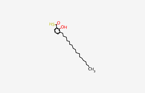 CCCCCCCCCCCCCCCCCCc1cccc(C(=O)S)c1O